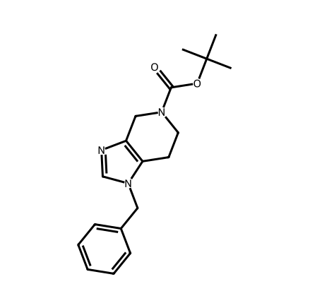 CC(C)(C)OC(=O)N1CCc2c(ncn2Cc2ccccc2)C1